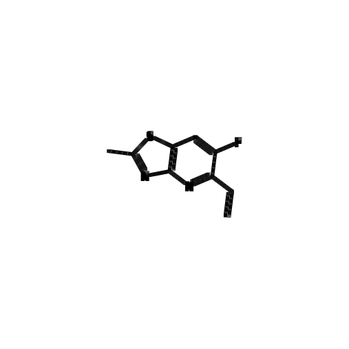 C=Cc1nc2nc(C)sc2cc1F